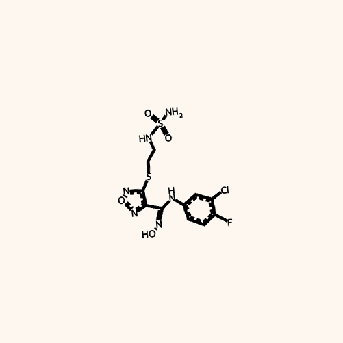 NS(=O)(=O)NCCSc1nonc1/C(=N\O)Nc1ccc(F)c(Cl)c1